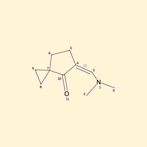 CN(C)/C=C1/CCC2(CC2)C1=O